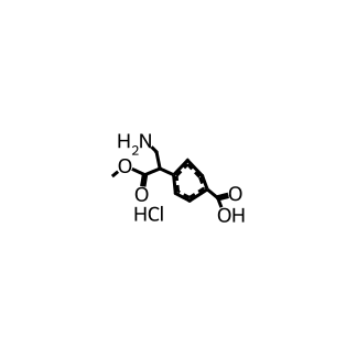 COC(=O)C(CN)c1ccc(C(=O)O)cc1.Cl